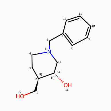 OC[C@H]1CCN(Cc2ccccc2)C[C@@H]1O